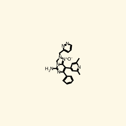 Cc1cc(C2=C(c3ccccc3)N=C(N)N3CN(Cc4cccnn4)[N+]([O-])=C23)cc(C)n1